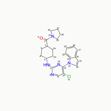 O=C(C1CCC(Nc2ncc(Cl)c(-n3ccc4ccccc43)n2)CC1)N1CCCC1